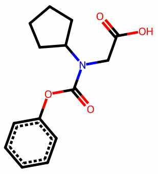 O=C(O)CN(C(=O)Oc1ccccc1)C1CCCC1